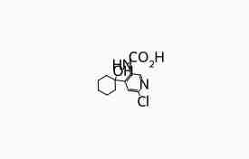 O=C(O)Nc1cnc(Cl)cc1C1(O)CCCCC1